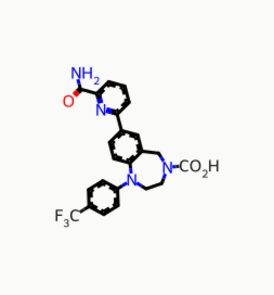 NC(=O)c1cccc(-c2ccc3c(c2)CN(C(=O)O)CCN3c2ccc(C(F)(F)F)cc2)n1